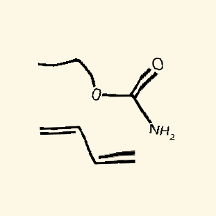 C=CC=C.CCOC(N)=O